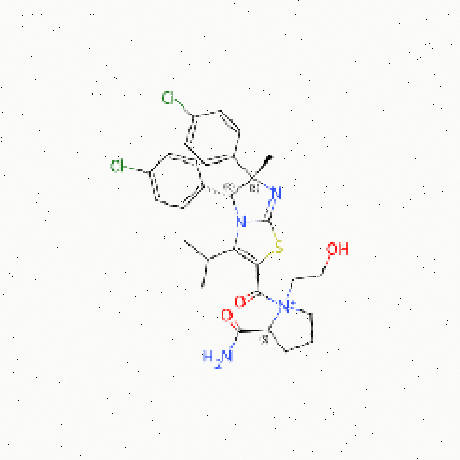 CC(C)C1=C(C(=O)[N+]2(CCO)CCC[C@H]2C(N)=O)SC2=N[C@@](C)(c3ccc(Cl)cc3)[C@@H](c3ccc(Cl)cc3)N21